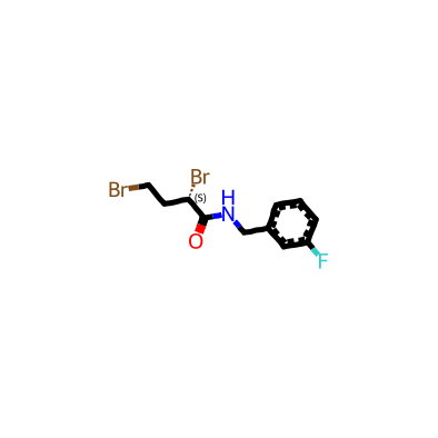 O=C(NCc1cccc(F)c1)[C@@H](Br)CCBr